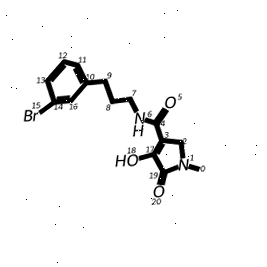 CN1CC(C(=O)NCCCc2cccc(Br)c2)=C(O)C1=O